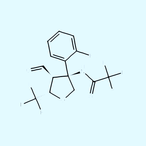 O=C[C@@H]1[C@@H](C(F)(F)F)OC[C@@]1(NC(=O)C(F)(F)F)c1ccccc1F